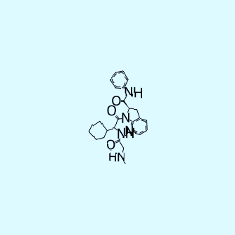 CNCC(=O)NC(C(=O)N1c2ncccc2C[C@@H]1C(=O)Nc1ccccc1)C1CCCCC1